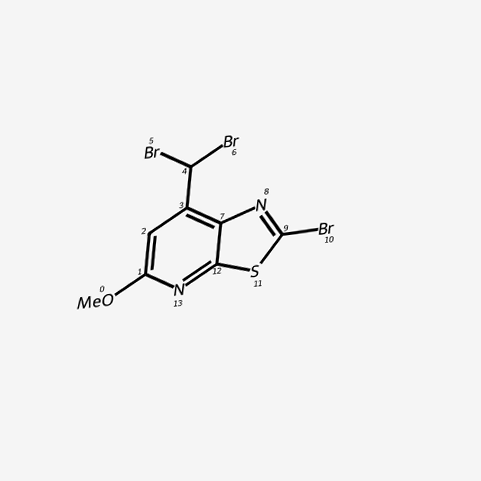 COc1cc(C(Br)Br)c2nc(Br)sc2n1